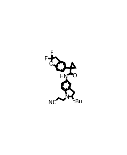 CC(C)(C)C1Cc2cc(NC(=O)C3(c4ccc5c(c4)CC(F)(F)O5)CC3)ccc2N1CCC#N